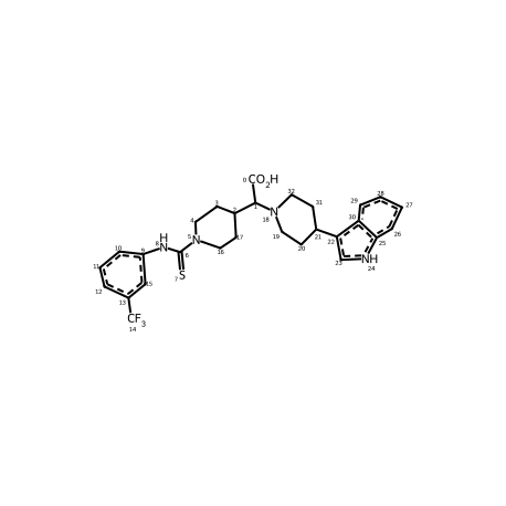 O=C(O)C(C1CCN(C(=S)Nc2cccc(C(F)(F)F)c2)CC1)N1CCC(c2c[nH]c3ccccc23)CC1